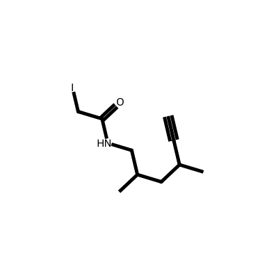 C#CC(C)CC(C)CNC(=O)CI